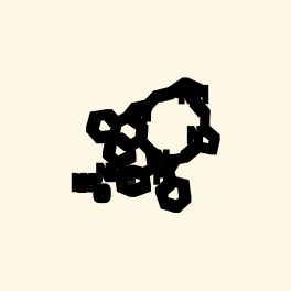 N[SH](=O)=O.c1ccc(-c2c(-c3ccccc3)c3[nH]c2cc2nc(cc4ccc(cc5nc(c3-c3ccccc3)C(c3ccccc3)C5)[nH]4)CC2)cc1